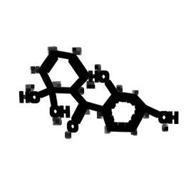 O=C(c1ccc(O)cc1O)C1C=CC=CC1(O)O